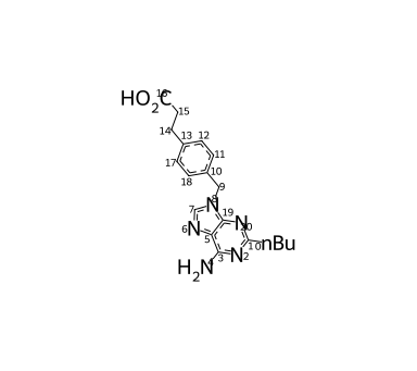 CCCCc1nc(N)c2ncn(Cc3ccc(CCC(=O)O)cc3)c2n1